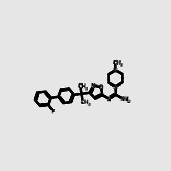 CN1CCN(/C(N)=N\c2cc(C(C)(C)c3ccc(-c4ccccc4F)cc3)no2)CC1